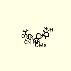 C=C(F)C(=O)N1CCN(c2nc(OC)nc3c2CCCN(c2c(C)ccc4[nH]ncc24)C3)C[C@@H]1CC#N